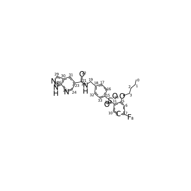 CCCCOc1cc(F)ccc1S(=O)(=O)c1ccc(CNC(=O)c2cnc3[nH]ncc3c2)cc1